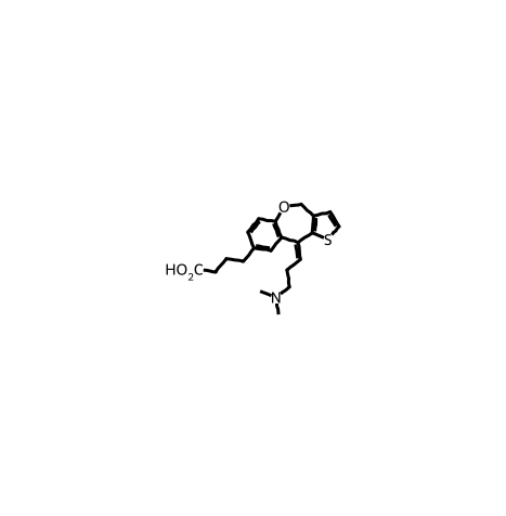 CN(C)CC/C=C1\c2cc(CCCC(=O)O)ccc2OCc2ccsc21